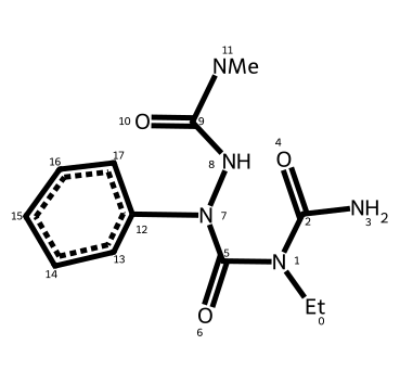 CCN(C(N)=O)C(=O)N(NC(=O)NC)c1ccccc1